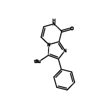 CC(C)(C)c1c(-c2ccccc2)nc2c(=O)[nH]ccn12